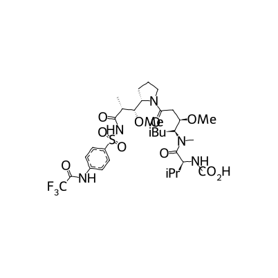 CC[C@H](C)[C@@H]([C@@H](CC(=O)N1CCC[C@H]1[C@H](OC)[C@@H](C)C(=O)NS(=O)(=O)c1ccc(NC(=O)C(F)(F)F)cc1)OC)N(C)C(=O)[C@@H](NC(=O)O)C(C)C